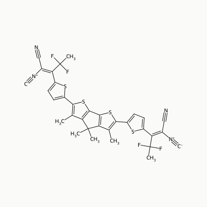 [C-]#[N+]/C(C#N)=C(\c1ccc(-c2sc3c(c2C)C(C)(C)c2c-3sc(-c3ccc(/C(=C(\C#N)[N+]#[C-])C(C)(F)F)s3)c2C)s1)C(C)(F)F